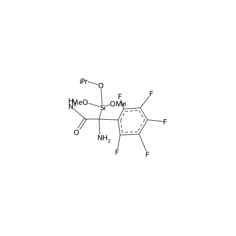 CO[Si](OC)(OC(C)C)C(N)(C(N)=O)c1c(F)c(F)c(F)c(F)c1F